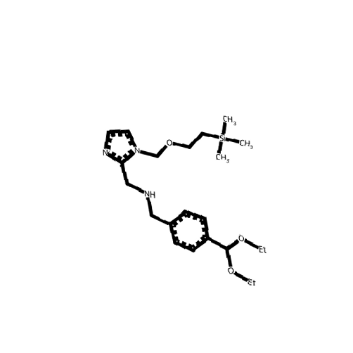 CCOC(OCC)c1ccc(CNCc2nccn2COCC[Si](C)(C)C)cc1